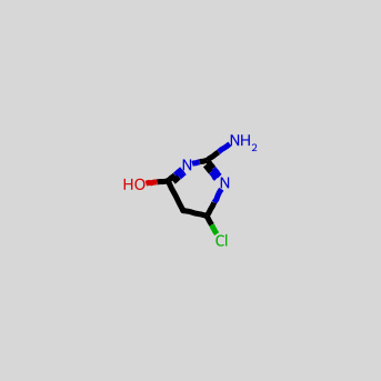 NC1=NC(Cl)CC(O)=N1